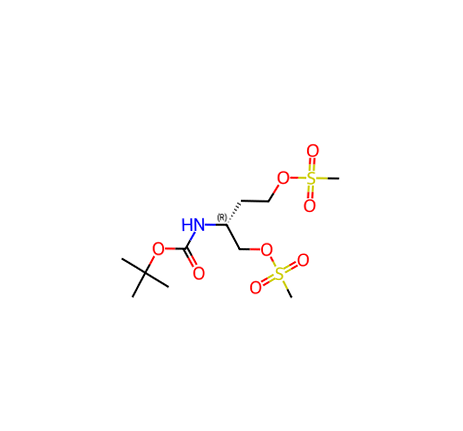 CC(C)(C)OC(=O)N[C@H](CCOS(C)(=O)=O)COS(C)(=O)=O